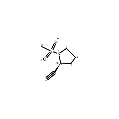 C#C[C@@H]1CCCN1S(C)(=O)=O